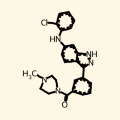 CN1CCN(C(=O)c2cccc(-c3n[nH]c4cc(Nc5ccccc5Cl)ccc34)c2)CC1